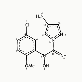 COc1ccc(Cl)cc1N(O)C(=N)n1cc(N)cn1